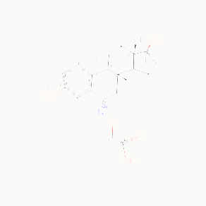 C[C@]12CC[C@@H]3c4ccc(O)cc4/C(=N/OCC(=O)O)C[C@H]3[C@@H]1CC[C@@H]2O